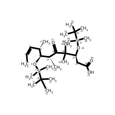 C/C=C\[C@H](C)[C@H](O[Si](C)(C)C(C)(C)C)[C@@H](C)C(=O)C(C)(C)[C@H](CC(=O)O)O[Si](C)(C)C(C)(C)C